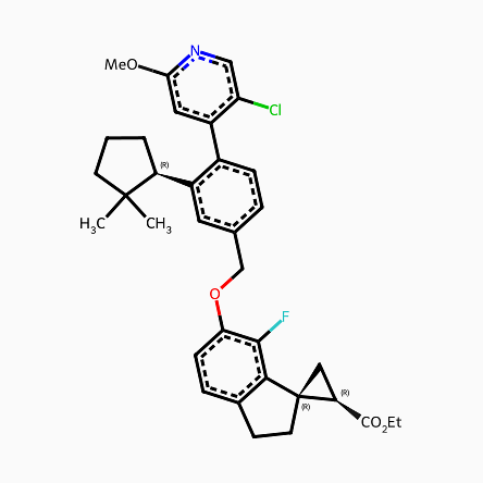 CCOC(=O)[C@@H]1C[C@]12CCc1ccc(OCc3ccc(-c4cc(OC)ncc4Cl)c([C@@H]4CCCC4(C)C)c3)c(F)c12